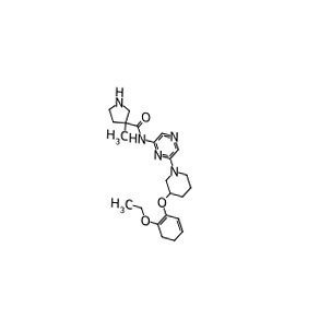 CCOC1=C(OC2CCCN(c3cncc(NC(=O)C4(C)CCNC4)n3)C2)C=CCC1